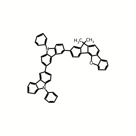 CC1(C)c2cc(-c3ccc4c(c3)c3cc(-c5ccc6c(c5)c5ccccc5n6-c5ccccc5)ccc3n4-c3ccccc3)ccc2-c2c1ccc1c2oc2ccccc21